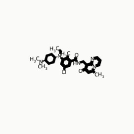 CCN(c1cc(Cl)cc(C(=O)NCc2c(=O)cc(C)n3cccnc23)c1C)[C@H]1CC[C@H](N(C)C)CC1